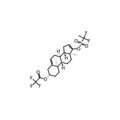 CC(F)(F)S(=O)(=O)OC1=CC[C@H]2[C@@H]3CC=C4C[C@@H](OC(=O)C(F)(F)F)CC[C@]4(C)[C@H]3CC[C@]12C